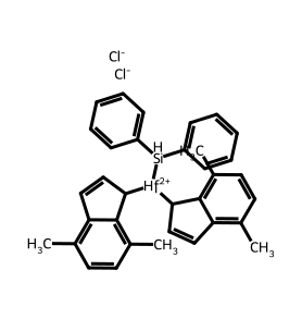 Cc1ccc(C)c2c1C=C[CH]2[Hf+2]([CH]1C=Cc2c(C)ccc(C)c21)[SiH](c1ccccc1)c1ccccc1.[Cl-].[Cl-]